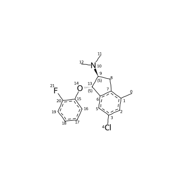 Cc1cc(Cl)cc2c1C[C@H](N(C)C)[C@H]2Oc1ccccc1F